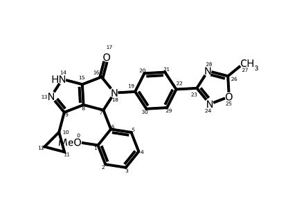 COc1ccccc1C1c2c(C3CC3)n[nH]c2C(=O)N1c1ccc(-c2noc(C)n2)cc1